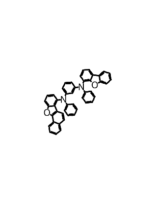 c1ccc(N(c2cccc(N(c3ccccc3)c3cccc4oc5c6ccccc6ccc5c34)c2)c2cccc3c2oc2ccccc23)cc1